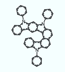 c1ccc(-n2c3ccccc3c3cc4c5c6c(ccc7c6c6ccccc6n7-c6ccccc6)ccc5n(-c5ccccc5)c4cc32)cc1